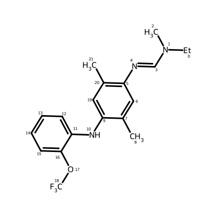 CCN(C)C=Nc1cc(C)c(Nc2ccccc2OC(F)(F)F)cc1C